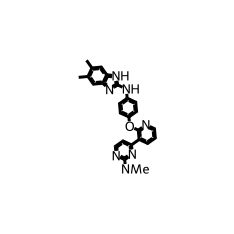 CNc1nccc(-c2cccnc2Oc2ccc(Nc3nc4cc(C)c(C)cc4[nH]3)cc2)n1